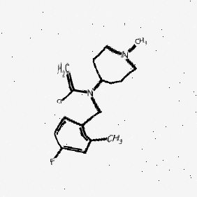 C=C(Cl)N(Cc1ccc(F)cc1C)C1CCN(C)CC1